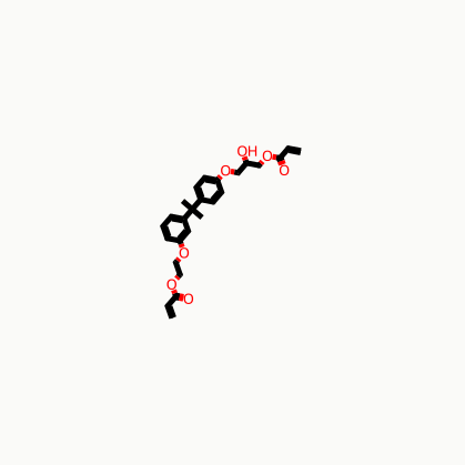 C=CC(=O)OCCOc1cccc(C(C)(C)c2ccc(OCC(O)COC(=O)C=C)cc2)c1